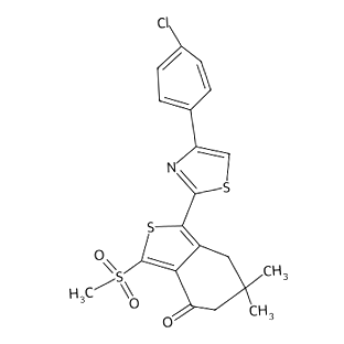 CC1(C)CC(=O)c2c(S(C)(=O)=O)sc(-c3nc(-c4ccc(Cl)cc4)cs3)c2C1